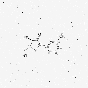 O=C1[C@H](F)[C@@H](CCl)CN1c1cccc(C(F)(F)F)c1